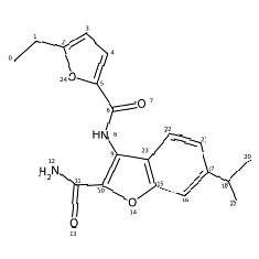 CCc1ccc(C(=O)Nc2c(C(N)=O)oc3cc(C(C)C)ccc23)o1